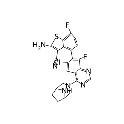 N#Cc1c(N)sc2c(F)ccc(-c3c(Cl)cc4c(N5CC6CCC(C5)N6)ncnc4c3F)c12